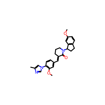 COc1ccc2c(c1)C(N1CCCC(=Cc3ccc(-n4cnc(C)c4)c(OC)c3)C1=O)CC2